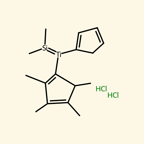 CC1=C(C)C(C)[C]([Ti]([C]2=CC=CC2)=[Si](C)C)=C1C.Cl.Cl